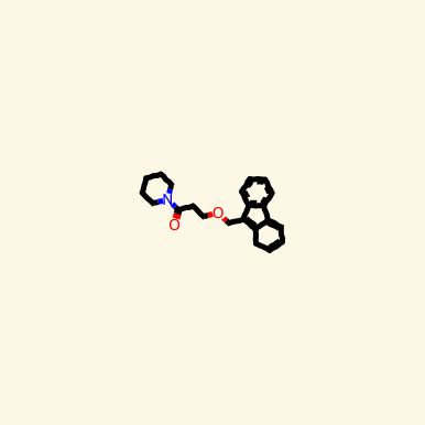 O=C(CCOCC1=C2CC=CC=C2c2ccccc21)N1CCCCC1